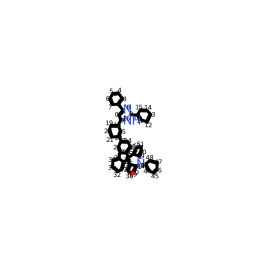 C1=C(c2ccccc2)N=C(c2ccccc2)NC1c1cccc(-c2ccc3c(c2)-c2ccccc2C32c3ccccc3N(c3ccccc3)c3ccccc32)c1